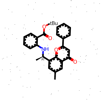 Cc1cc([C@@H](C)Nc2ccccc2C(=O)OC(C)(C)C)c2oc(-c3ccccc3)cc(=O)c2c1